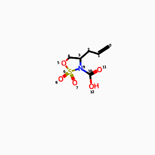 C=CCC1COS(=O)(=O)N1C(=O)O